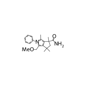 COCc1c2c(c(C)n1-c1ccccc1)C(C)(C(N)=O)CC2(C)C